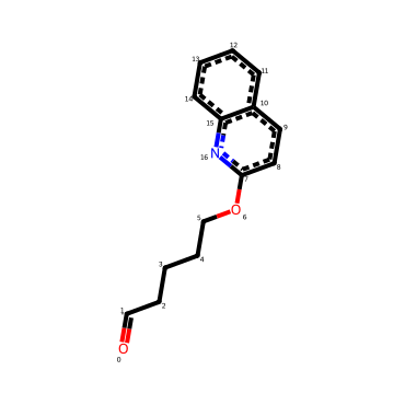 O=[C]CCCCOc1ccc2ccccc2n1